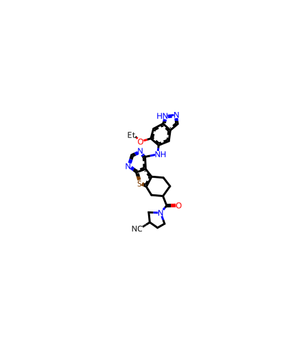 CCOc1cc2[nH]ncc2cc1Nc1ncnc2sc3c(c12)CCC(C(=O)N1CCC(C#N)C1)C3